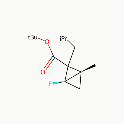 CC(C)CC1(C(=O)OC(C)(C)C)[C@]2(C)C[C@]12F